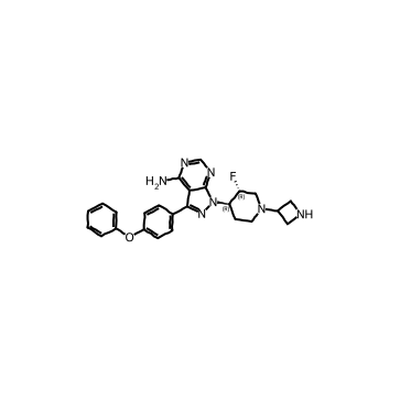 Nc1ncnc2c1c(-c1ccc(Oc3ccccc3)cc1)nn2[C@@H]1CCN(C2CNC2)C[C@H]1F